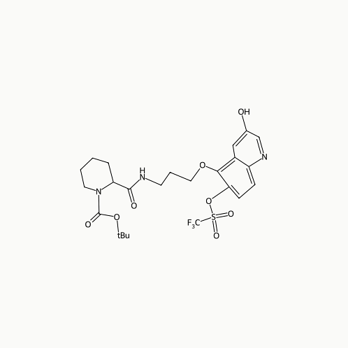 CC(C)(C)OC(=O)N1CCCCC1C(=O)NCCCOc1c(OS(=O)(=O)C(F)(F)F)ccc2ncc(O)cc12